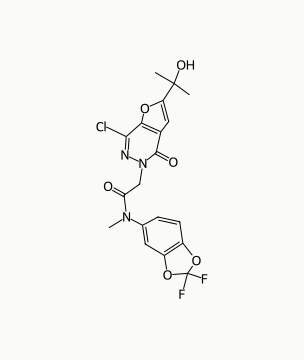 CN(C(=O)Cn1nc(Cl)c2oc(C(C)(C)O)cc2c1=O)c1ccc2c(c1)OC(F)(F)O2